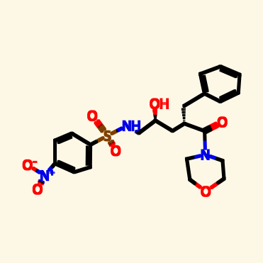 O=C([C@@H](Cc1ccccc1)C[C@H](O)CNS(=O)(=O)c1ccc([N+](=O)[O-])cc1)N1CCOCC1